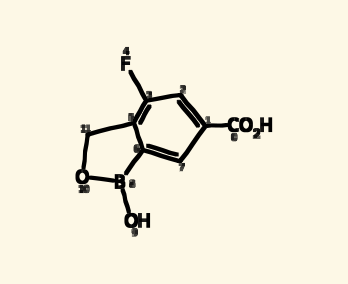 O=C(O)c1cc(F)c2c(c1)B(O)OC2